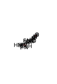 COc1nc(Nc2ncc(F)c(-c3ccc(O[C@H]4CCNC[C@H]4F)c(C#N)c3)n2)ccc1N1CCN(C2COC2)CC1